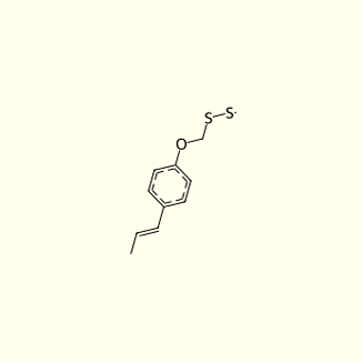 CC=Cc1ccc(OCS[S])cc1